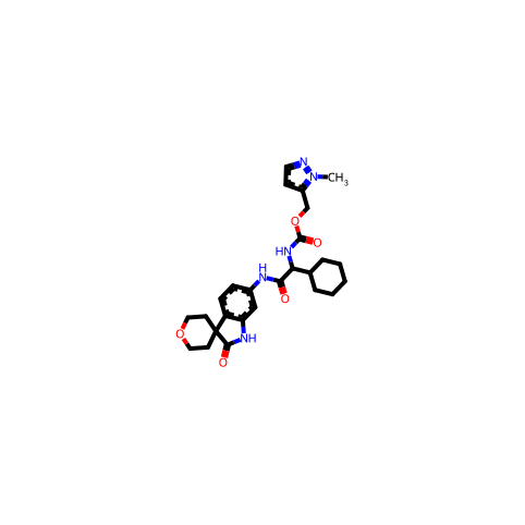 Cn1nccc1COC(=O)NC(C(=O)Nc1ccc2c(c1)NC(=O)C21CCOCC1)C1CCCCC1